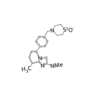 CNc1cn2c(-c3ccc(CN4CC[S+]([O-])CC4)cc3)ccc(C)c2n1